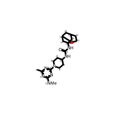 CNc1nc(C)nc(N2CCC(NC(=O)NC34CC5CC(CC(C5)O3)C4)CC2)n1